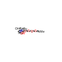 CNCCOCCOCCOCCOCC(=O)N(C(C=O)C(C)(C)C)N1CCC[C@H]1O